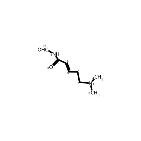 CN(C)CCC=CC(=O)NC=O